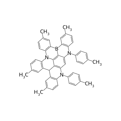 Cc1ccc(N2c3ccc(C)cc3B3c4cc(C)ccc4N4c5ccc(C)cc5C5c6cc(C)ccc6N(c6ccc(C)cc6)c6cc2c3c4c65)cc1